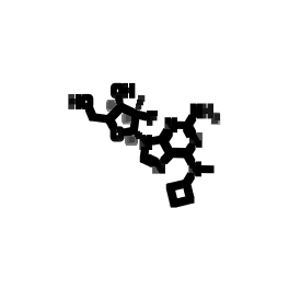 CN(c1nc(N)nc2c1ncn2[C@@H]1OC(CO)[C@@H](O)[C@@]1(C)F)C1CCC1